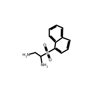 NCC(N)S(=O)(=O)c1cccc2ccccc12